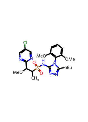 CCCCc1nnc(NS(=O)(=O)C(C)C(OC)c2ncc(Cl)cn2)n1-c1c(OC)cccc1OC